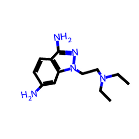 CCN(CC)CCn1nc(N)c2ccc(N)cc21